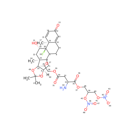 CC1(C)O[C@@H]2CC3C4CCC5=CC(=O)C=C[C@]5(C)[C@@]4(F)[C@@H](O)C[C@]3(C)[C@]2(C(=O)COC(=O)CC(N)C(=O)OCC(CO[N+](=O)[O-])O[N+](=O)[O-])O1